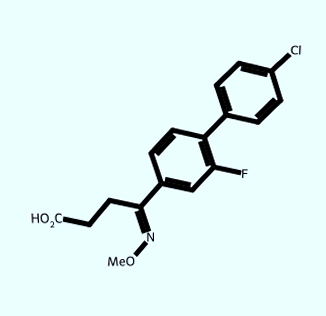 CON=C(CCC(=O)O)c1ccc(-c2ccc(Cl)cc2)c(F)c1